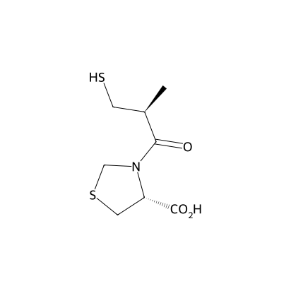 C[C@H](CS)C(=O)N1CSC[C@H]1C(=O)O